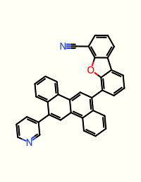 N#Cc1cccc2c1oc1c(-c3cc4c5ccccc5c(-c5cccnc5)cc4c4ccccc34)cccc12